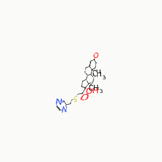 CC12CCC(=O)C=C1CCC1C2CCC2(C)C1CC[C@]2(O)C(=O)CSCCc1cnccn1